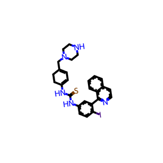 S=C(NC1=CC=C(CN2CCNCC2)CC1)Nc1ccc(I)c(-c2nccc3ccccc23)c1